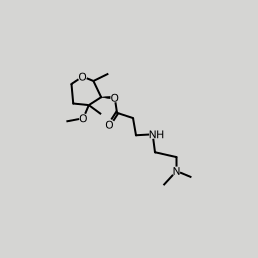 COC1(C)CCOC(C)[C@H]1OC(=O)CCNCCN(C)C